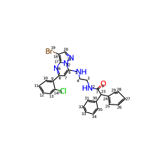 O=C(NCCNc1cc(-c2ccccc2Cl)nc2c(Br)cnn12)C(c1ccccc1)c1ccccc1